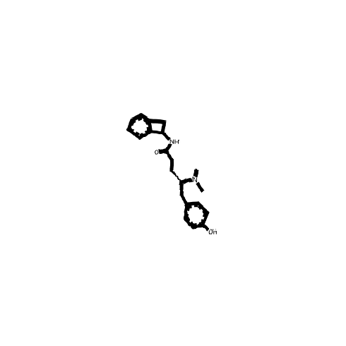 CN(C)[C@H](CCC(=O)NC1Cc2ccccc21)Cc1ccc(O)cc1